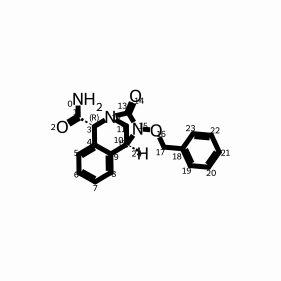 NC(=O)[C@H]1c2ccccc2[C@H]2CN1C(=O)N2OCc1ccccc1